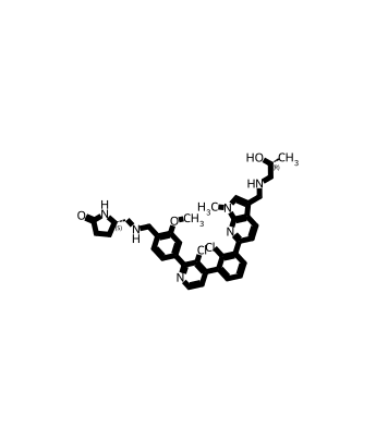 COc1cc(-c2nccc(-c3cccc(-c4ccc5c(CNC[C@@H](C)O)cn(C)c5n4)c3Cl)c2Cl)ccc1CNC[C@@H]1CCC(=O)N1